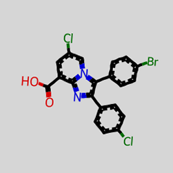 O=C(O)c1cc(Cl)cn2c(-c3ccc(Br)cc3)c(-c3ccc(Cl)cc3)nc12